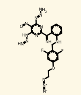 [N-]=[N+]=NCCOc1cc(F)c(CNc2ccccc2C(=N)c2nc(N=NN)c(N=O)c(NN=N)n2)c(F)c1